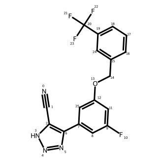 N#Cc1[nH]nnc1-c1cc(F)cc(OCc2cccc(C(F)(F)F)c2)c1